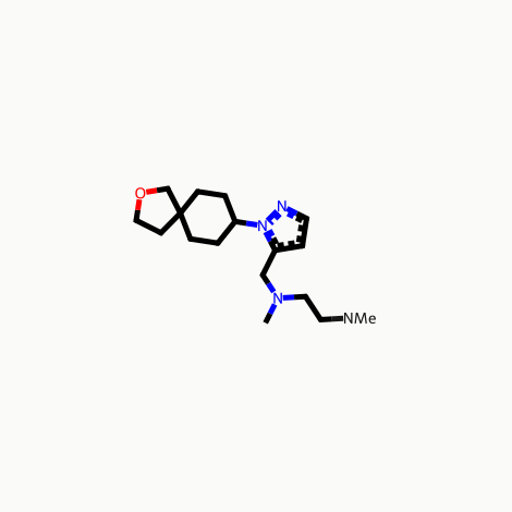 CNCCN(C)Cc1ccnn1C1CCC2(CCOC2)CC1